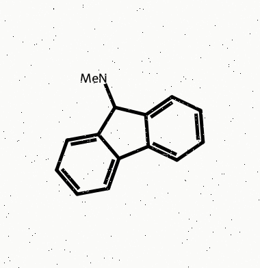 CNC1c2ccccc2-c2ccccc21